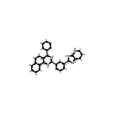 c1ccc(-c2nc(-c3cccc(-c4nc5cccnc5s4)c3)nc3c2ccc2ccccc23)cc1